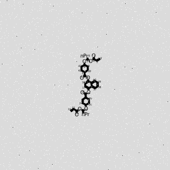 C=CC(=O)OC(CCC)OC1CCC(C(=O)Oc2ccc(OC(=O)C3CCC(OC(CCC)OC(=O)C=C)CC3)c3ccccc23)CC1